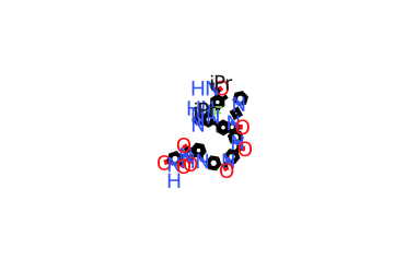 Cc1cc(F)c(Nc2nc(-c3ccc4c(c3)N([C@H]3C[C@@H](N5CCCCC5)C3)C(=O)C43CCN(C(=O)C4=CCN(C(=O)[C@H]5CC[C@H](Nc6cccc7c6C(=O)N(C6CCC(=O)NC6=O)C7=O)CC5)CC4)CC3)cc3ncn(C(C)C)c23)cc1C(=O)NC(C)C